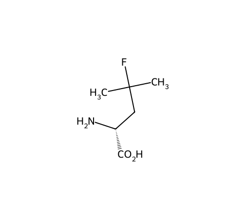 CC(C)(F)C[C@@H](N)C(=O)O